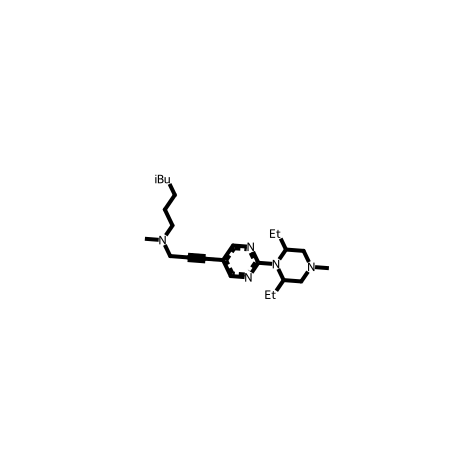 CCC(C)CCCN(C)CC#Cc1cnc(N2C(CC)CN(C)CC2CC)nc1